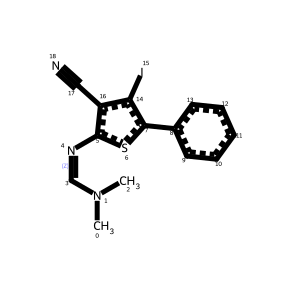 CN(C)/C=N\c1sc(-c2ccccc2)c(I)c1C#N